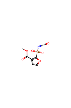 COC(=O)c1ccoc1S(=O)(=O)N=C=O